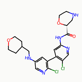 O=C(Nc1cc(-c2cc(NCC3CCOCC3)cnc2Cl)c(Cl)cn1)[C@H]1CNCCO1